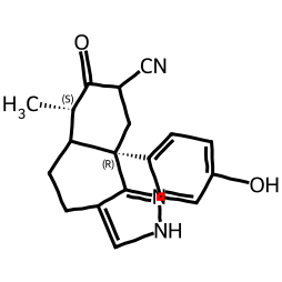 C[C@@H]1C(=O)C(C#N)C[C@@]2(c3ccc(O)cc3)c3n[nH]cc3CCC12